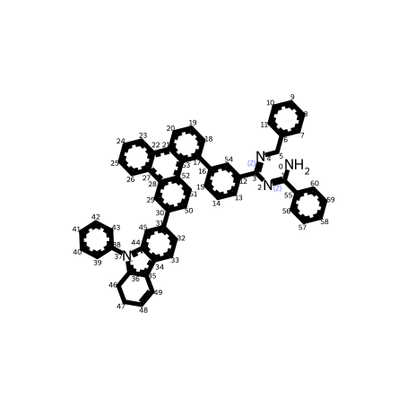 N/C(=N\C(=N/Cc1ccccc1)c1cccc(-c2cccc3c4ccccc4c4cc(-c5ccc6c7c(n(-c8ccccc8)c6c5)CCC=C7)ccc4c23)c1)c1ccccc1